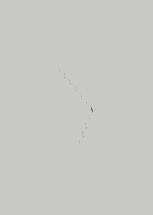 O=C(O)CCCCCCCCCCC/C=C\CCCCCCCCO